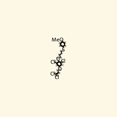 COc1ccc(SCCCCOc2c(Cl)cc(OCC=C(Cl)Cl)cc2Cl)cc1